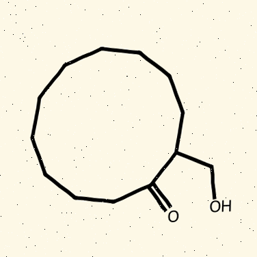 O=C1CCCCCCCCCCC1CO